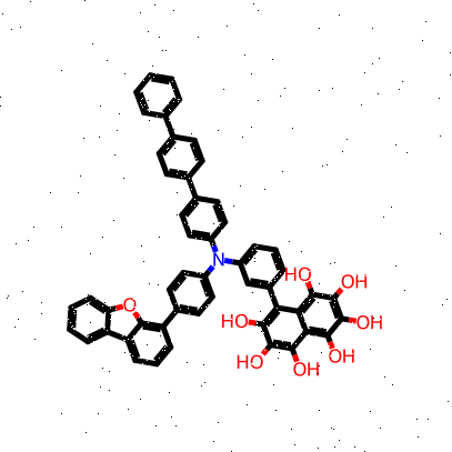 Oc1c(O)c(O)c2c(-c3cccc(N(c4ccc(-c5ccc(-c6ccccc6)cc5)cc4)c4ccc(-c5cccc6c5oc5ccccc56)cc4)c3)c(O)c(O)c(O)c2c1O